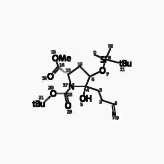 C=CCCC1(O)C(O[Si](C)(C)C(C)(C)C)C[C@@H](C(=O)OC)N1C(=O)OC(C)(C)C